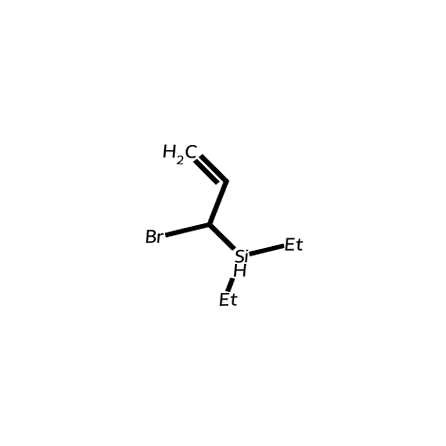 C=CC(Br)[SiH](CC)CC